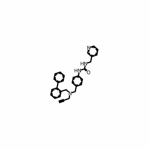 C#CCN(Cc1ccc(NC(=O)NCc2cccnc2)cc1)Cc1ccccc1-c1ccccc1